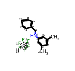 Cc1cc(C)cc(NCc2ccccc2)c1.[F][Sb-]([F])([F])([F])([F])[F].[H+]